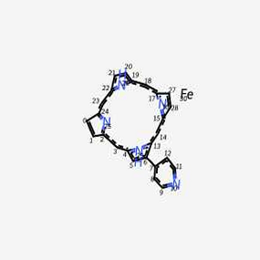 C1=Cc2cc3cc(-c4ccncc4)c(cc4nc(cc5ccc(cc1n2)[nH]5)C=C4)[nH]3.[Fe]